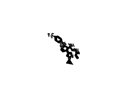 C=CC(=C)NCC(=N)c1c(-c2cnn(C3CC3)c2)ccnc1Nc1ccc(C(F)(F)F)cc1